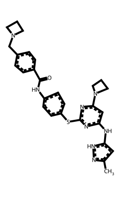 Cc1cc(Nc2cc(N3CCC3)nc(Sc3ccc(NC(=O)c4ccc(CN5CCC5)cc4)cc3)n2)[nH]n1